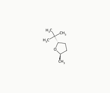 C[C@@H]1CC[C@@H](C(C)(C)C)O1